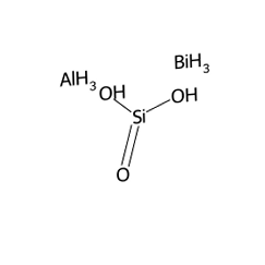 O=[Si](O)O.[AlH3].[BiH3]